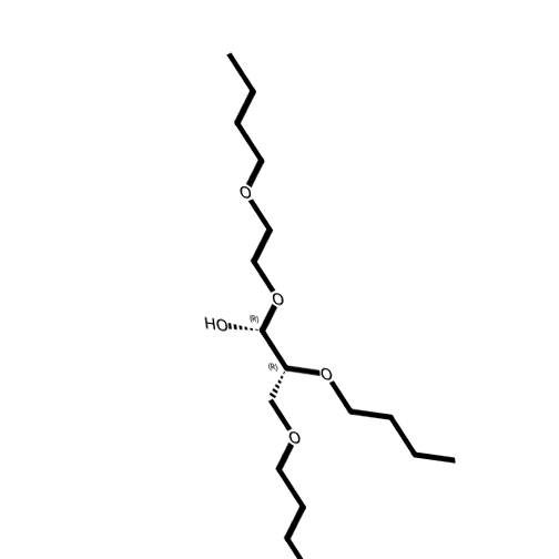 CCCCOCCO[C@@H](O)[C@@H](COCCCC)OCCCC